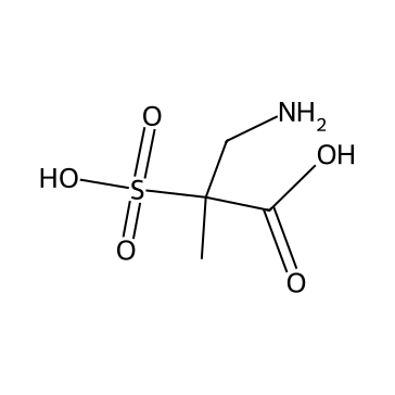 CC(CN)(C(=O)O)S(=O)(=O)O